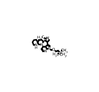 Cn1cc(-c2cn(COCC[Si](C)(C)C)c3nccc(N4CCCC5(CCCCN5)C4)c23)cn1